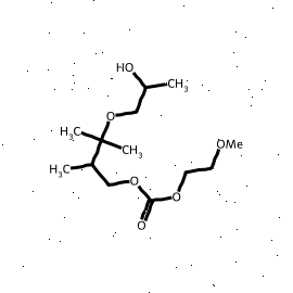 COCCOC(=O)OCC(C)C(C)(C)OCC(C)O